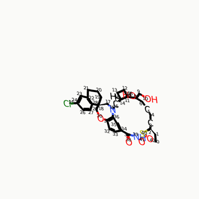 CC[C@@H]1CCCC[C@](O)(CO)[C@@H]2CC[C@H]2CN2C[C@@]3(CCCc4cc(Cl)ccc43)COc3ccc(cc32)C(=O)NS1(=O)=O